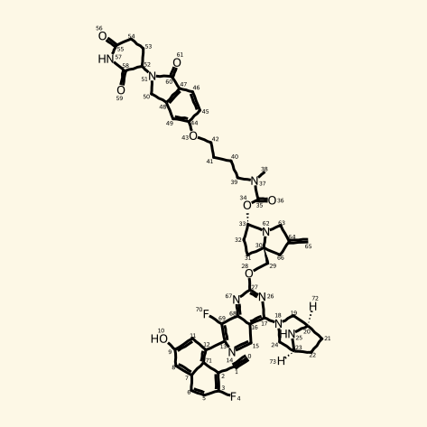 C#Cc1c(F)ccc2cc(O)cc(-c3ncc4c(N5C[C@H]6CC[C@@H](C5)N6)nc(OC[C@@]56CC[C@H](OC(=O)N(C)CCCCOc7ccc8c(c7)CN(C7CCC(=O)NC7=O)C8=O)N5CC(=C)C6)nc4c3F)c12